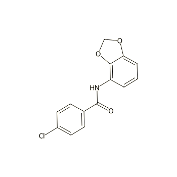 O=C(Nc1cccc2c1OCO2)c1ccc(Cl)cc1